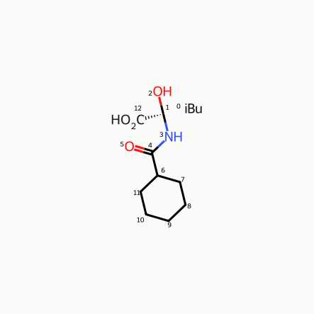 CC[C@H](C)[C@](O)(NC(=O)C1CCCCC1)C(=O)O